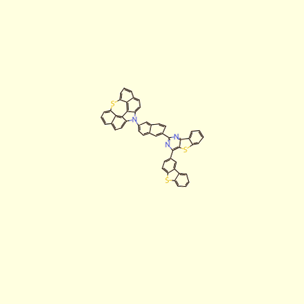 c1ccc2c(c1)sc1ccc(-c3nc(-c4ccc5cc(-n6c7ccc8cccc9sc%10cccc%11ccc6c(c%11%10)c7c89)ccc5c4)nc4c3sc3ccccc34)cc12